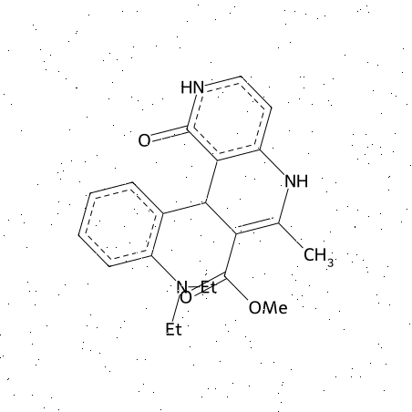 CCN(CC)c1ccccc1C1C(C(=O)OC)=C(C)Nc2cc[nH]c(=O)c21